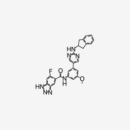 COc1cc(NC(=O)c2cc3nn[nH]c3cc2F)cc(-c2cnc(NC3Cc4ccccc4C3)nc2)c1